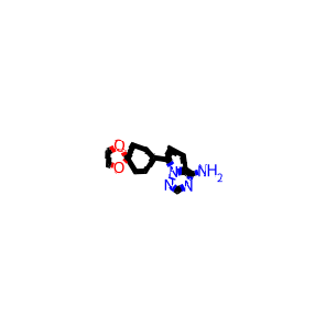 Nc1ncnn2c(C3CCC4(CC3)OCCO4)ccc12